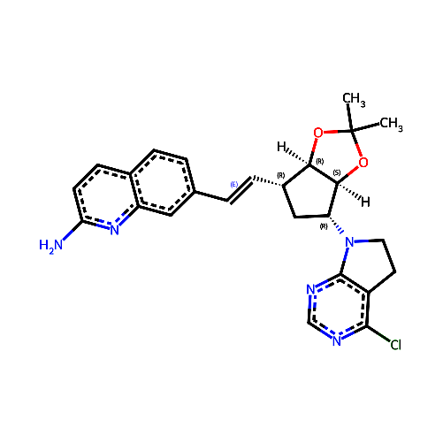 CC1(C)O[C@@H]2[C@H](O1)[C@@H](/C=C/c1ccc3ccc(N)nc3c1)C[C@H]2N1CCc2c(Cl)ncnc21